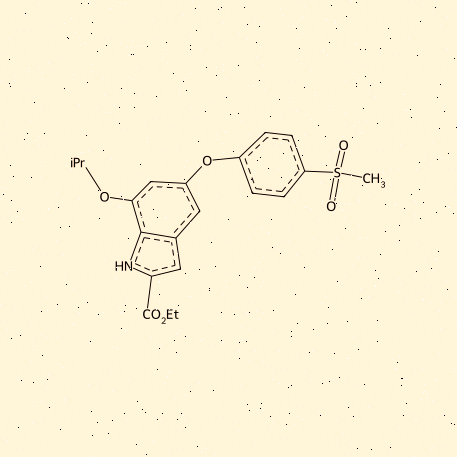 CCOC(=O)c1cc2cc(Oc3ccc(S(C)(=O)=O)cc3)cc(OC(C)C)c2[nH]1